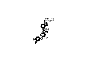 CCOC(=O)Cn1ncc2c1CCC[C@H]2NS(=O)(=O)c1cnc(Oc2ccc(F)c(F)c2)c(Br)c1